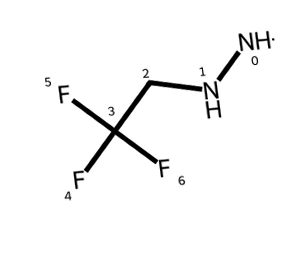 [NH]NCC(F)(F)F